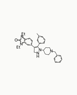 CCn1c(=O)n(CC)c2cc(C3=C(c4cccc(C)c4)N(C4CCN(Cc5ccccc5)CC4)NC3)ccc21